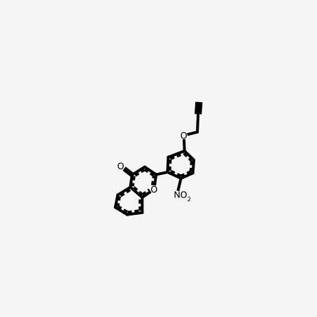 C#CCOc1ccc([N+](=O)[O-])c(-c2cc(=O)c3ccccc3o2)c1